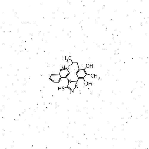 Cc1c(O)c(CC(C)C)cc(-c2nnc(S)n2-c2cccc3ccccc23)c1O